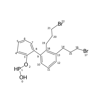 OPOc1ccccc1-c1cccc(CCCBr)c1CCCBr